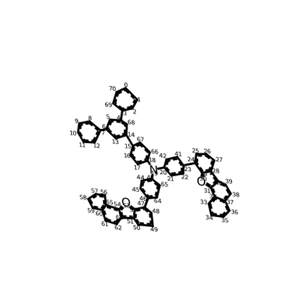 c1ccc(-c2cc(-c3ccccc3)cc(-c3ccc(N(c4ccc(-c5cccc6c5oc5c7ccccc7ccc65)cc4)c4ccc(-c5cccc6c5oc5c7ccccc7ccc65)cc4)cc3)c2)cc1